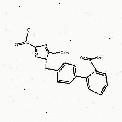 Cc1nc([N+](=O)[O-])cn1Cc1ccc(-c2ccccc2C(=O)O)cc1